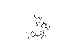 N#Cc1ccc(OC2CN(c3cc(-c4c[nH]c(=O)[nH]c4=O)nn4ccnc34)CC2(F)F)cc1C(F)(F)F